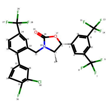 C[C@H]1[C@@H](c2cc(C(F)(F)F)cc(C(F)(F)F)c2)OC(=O)N1Cc1cc(C(F)(F)F)ccc1-c1ccc(F)c(Cl)c1